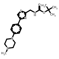 CN1CCN(c2ccc(-c3csc(CNC(=O)OC(C)(C)C)n3)cc2)CC1